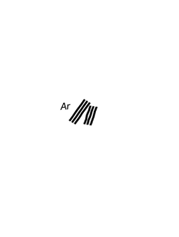 C#C.C#C.[Ar]